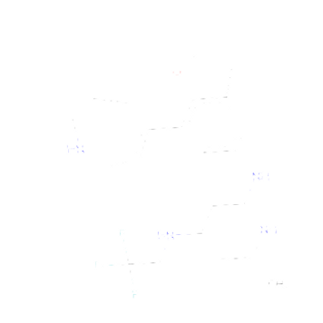 CC1CC(NCC(F)(F)F)CC(Nc2cc3c(c(C4=CCNCCC4)c2)OCC3)N1